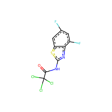 O=C(Nc1nc2c(F)cc(F)cc2s1)C(Cl)(Cl)Cl